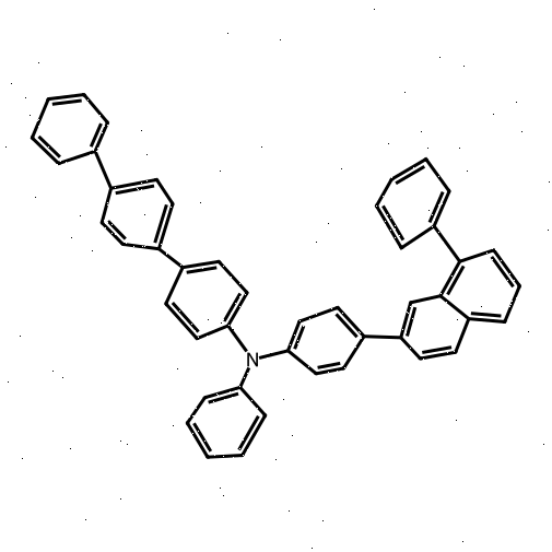 c1ccc(-c2ccc(-c3ccc(N(c4ccccc4)c4ccc(-c5ccc6cccc(-c7ccccc7)c6c5)cc4)cc3)cc2)cc1